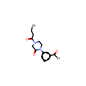 CCC(=O)c1cccc(N2CCN(C(=O)CCC(C)C)CC2=O)c1